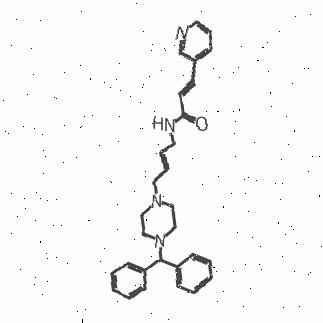 O=C(C=Cc1cccnc1)NCC=CCN1CCN(C(c2ccccc2)c2ccccc2)CC1